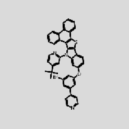 CC(C)(C)c1ccnc(-n2c3cc(Oc4cc(Br)cc(-c5ccncc5)c4)ccc3c3sc4c5ccccc5c5ccccc5c4c32)c1